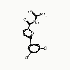 N=C(N)NC(=O)c1ccc(-c2cc(Cl)cc(Cl)c2)o1